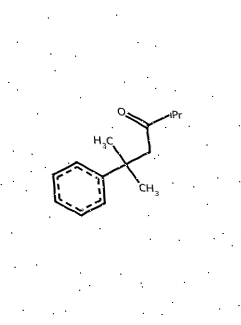 CC(C)C(=O)CC(C)(C)c1ccccc1